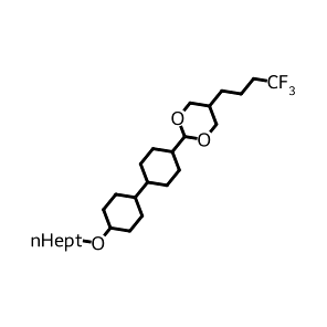 CCCCCCCOC1CCC(C2CCC(C3OCC(CCCC(F)(F)F)CO3)CC2)CC1